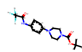 CC(C)(C)OC(=O)N1CCN(c2ccc(NC(=O)C(F)(F)F)cc2)CC1